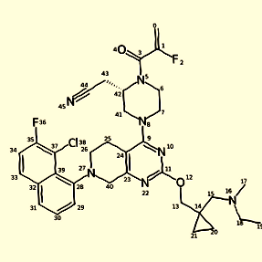 C=C(F)C(=O)N1CCN(c2nc(OCC3(CN(C)CC)CC3)nc3c2CCN(c2cccc4ccc(F)c(Cl)c24)C3)C[C@@H]1CC#N